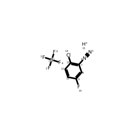 F[B-](F)(F)F.N#[N+]c1cc(F)ccc1Cl.[H+]